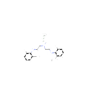 CC(C)c1cccc(C(C)C)c1NCCN(C)CCNc1c(C(C)C)cccc1C(C)C.[Cl-].[Cl-].[Mn+2]